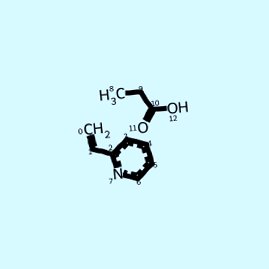 C=Cc1ccccn1.CCC(=O)O